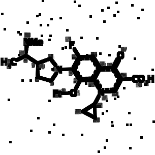 CCOc1c(N2CC[C@@H]([C@@H](C)NC)C2)c(F)cc2c(=O)c(C(=O)O)cn(C3CC3)c12